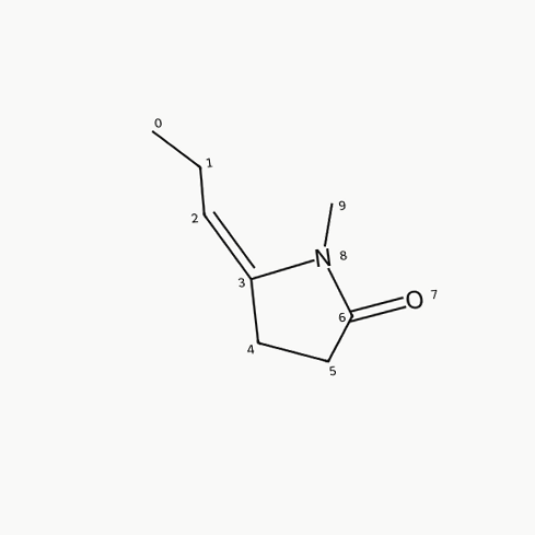 CCC=C1CCC(=O)N1C